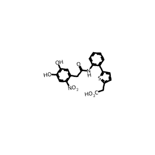 O=C(O)Cc1ccc(-c2ccccc2NC(=O)Cc2cc(O)c(O)cc2[N+](=O)[O-])s1